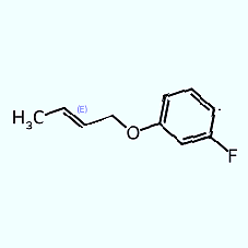 C/C=C/COc1cc[c]c(F)c1